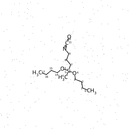 CCCCO[Si](C)(CCCN=C=O)OCCCC